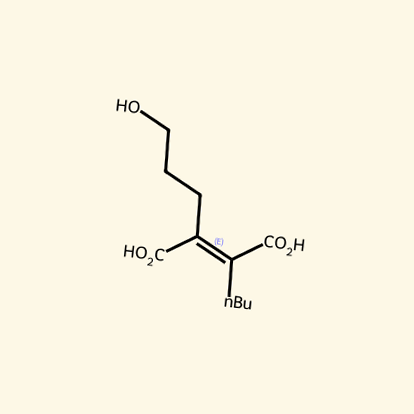 CCCC/C(C(=O)O)=C(/CCCO)C(=O)O